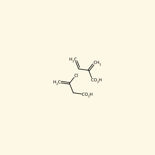 C=C(Cl)CC(=O)O.C=CC(=C)C(=O)O